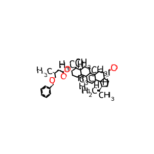 C=C(C)[C@@H]1CC[C@]2(CC=O)CC[C@]3(C)[C@H](CCC4[C@@]5(C)CC[C@H](OC(=O)CC(C)COCc6ccccc6)C(C)(C)[C@@H]5CC[C@]43C)[C@@H]12